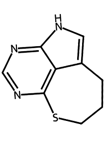 c1nc2c3c(c[nH]c3n1)CCCS2